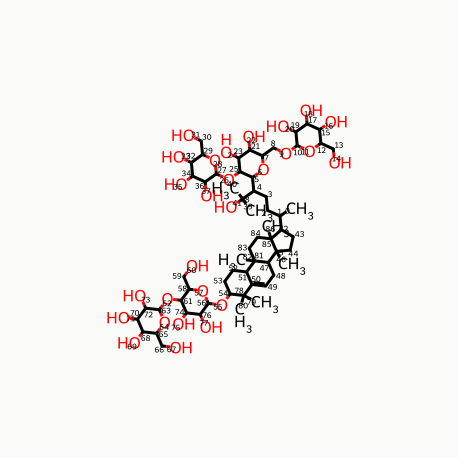 CC(CCC(C1OC(COC2OC(CO)C(O)C(O)C2O)C(O)C(O)C1OC1OC(CO)C(O)C(O)C1O)C(C)(C)O)C1CCC2(C)C3CC=C4C(CCC(OC5OC(CO)C(OC6OC(CO)C(O)C(O)C6O)C(O)C5O)C4(C)C)C3(C)CCC12C